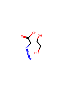 OCCO.[N-]=[N+]=NCC(=O)O